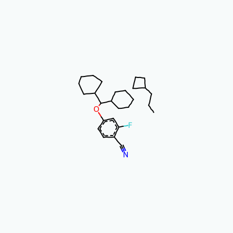 CCCC1CCC1.N#Cc1ccc(OC(C2CCCCC2)C2CCCCC2)cc1F